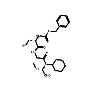 CC(C)C[C@H](NC(=O)OCc1ccccc1)C(=O)N[C@@H](CC(C)C)C(=O)N(CC=O)C1CCCCC1